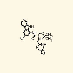 CC1(C)CN(CC2=NCC3(CCC3)CN2)[C@H](C(=O)Nc2cc(Cl)cc3c2[nH]c2cnccc23)CO1